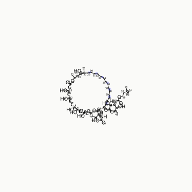 CO[C@]12C[C@@H](O)C[C@@H](O)[C@H](O)CC[C@@H](O)C[C@@H](O)CC(=O)OC(C)[C@H](C)[C@H](O)[C@@H](C)/C=C/C=C/C=C/C=C/C=C/C=C/C=C/[C@H](O[C@@H]3O[C@H](C)[C@@H](O)[C@H](NC(=O)OCC[Si](C)(C)C)[C@@H]3O)C[C@H](O1)[C@@H]1NC(=O)O[C@H]1C2